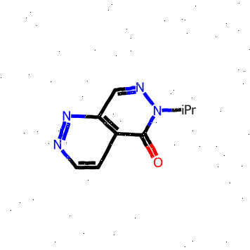 CC(C)n1ncc2nnccc2c1=O